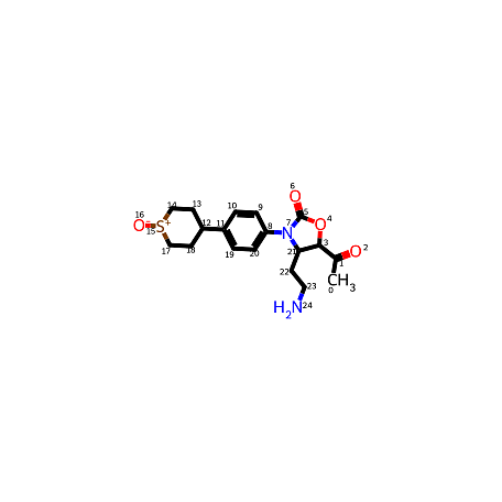 CC(=O)C1OC(=O)N(c2ccc(C3CC[S+]([O-])CC3)cc2)C1CCN